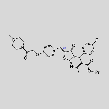 CC1=C(C(=O)OC(C)C)C(c2ccc(F)cc2)n2c(s/c(=C\c3ccc(OCC(=O)N4CCN(C)CC4)cc3)c2=O)=N1